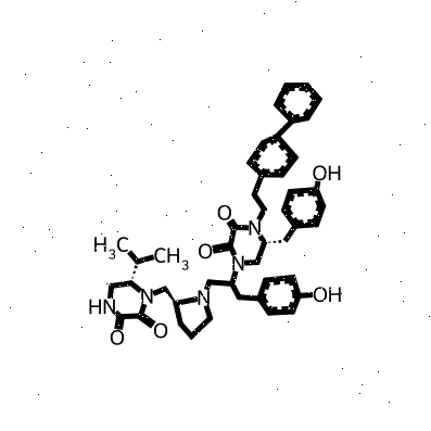 CC(C)[C@H]1CNC(=O)C(=O)N1C[C@@H]1CCCN1CC(Cc1ccc(O)cc1)N1C[C@@H](Cc2ccc(O)cc2)N(CCc2ccc(-c3ccccc3)cc2)C(=O)C1=O